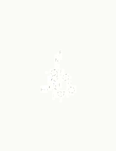 Cc1cc2cc(c1F)[C@@H](CC(=O)O)NC(=O)[C@H](n1cc(CCN3CC(F)C3)cc(C)c1=O)c1cc(ccc1F)Oc1cccc(C)c1-2